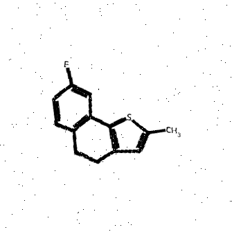 Cc1cc2c(s1)-c1cc(F)ccc1CC2